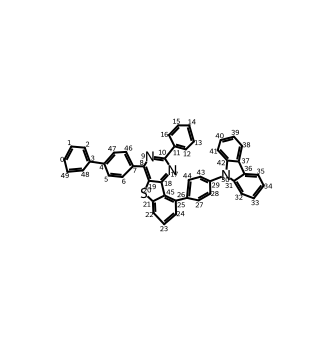 c1ccc(-c2ccc(-c3nc(-c4ccccc4)nc4c3sc3cccc(-c5ccc(-n6c7ccccc7c7ccccc76)cc5)c34)cc2)cc1